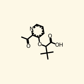 CC(=O)c1ncccc1OC(C(=O)O)C(C)(C)C